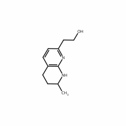 CC1CCc2ccc(CCO)nc2N1